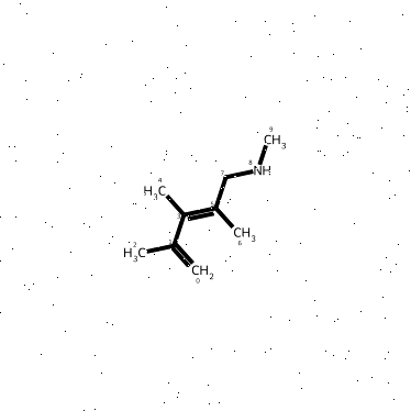 C=C(C)/C(C)=C(\C)CNC